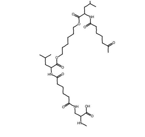 CNC(CNC(=O)CCCCC(=O)NC(CC(C)C)C(=O)OCCCCCCOC(=O)C(CC(C)C)NC(=O)CCCCC(C)=O)C(=O)O